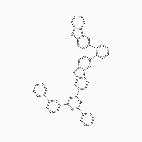 c1ccc(-c2cccc(-c3nc(-c4ccccc4)nc(-c4ccc5c(c4)oc4ccc(-c6ccccc6-c6ccc7oc8ccccc8c7c6)cc45)n3)c2)cc1